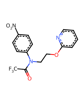 O=C(N(CCOc1ccccn1)c1ccc([N+](=O)[O-])cc1)C(F)(F)F